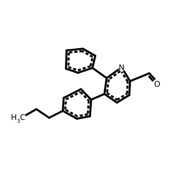 CCCc1ccc(-c2ccc(C=O)nc2-c2ccccc2)cc1